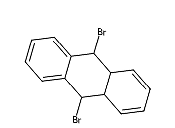 BrC1c2ccccc2C(Br)C2C=CC=CC12